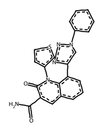 NC(=O)c1cc2cccc(-c3cn(-c4ccccc4)nn3)c2n(-c2ccsc2)c1=O